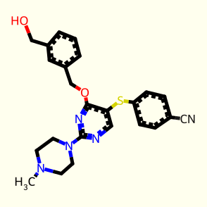 CN1CCN(c2ncc(Sc3ccc(C#N)cc3)c(OCc3cccc(CO)c3)n2)CC1